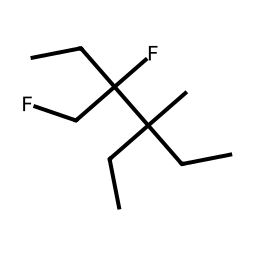 CCC(C)(CC)C(F)(CC)CF